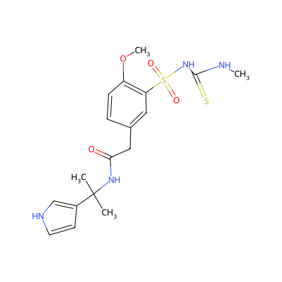 CNC(=S)NS(=O)(=O)c1cc(CC(=O)NC(C)(C)c2cc[nH]c2)ccc1OC